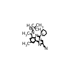 CC(=N[S@+]([O-])C(C)(C)C)c1cc(C)cc2c1nc(N1CCCCC1)n1cc(C#N)nc21